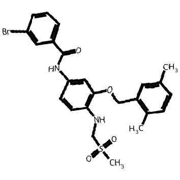 Cc1ccc(C)c(COc2cc(NC(=O)c3cccc(Br)c3)ccc2NCS(C)(=O)=O)c1